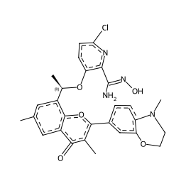 Cc1cc([C@@H](C)Oc2ccc(Cl)nc2C(N)=NO)c2oc(-c3ccc4c(c3)OCCN4C)c(C)c(=O)c2c1